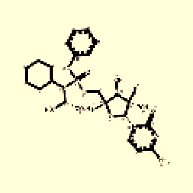 C[C@@H](C(=O)O)N(C1CCCCC1)[P@](=O)(OC[C@@]1(F)O[C@@H](n2ccc(N)nc2=O)[C@](C)(F)[C@@H]1O)Oc1ccccc1